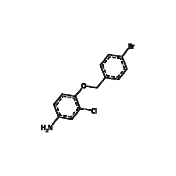 Nc1ccc(OCc2ccc(Br)cc2)c(Cl)c1